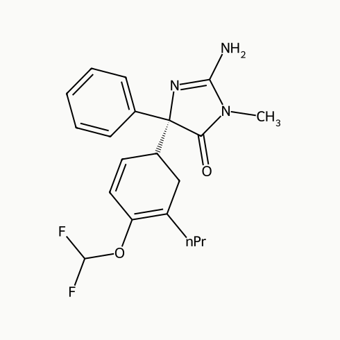 CCCC1=C(OC(F)F)C=CC([C@]2(c3ccccc3)N=C(N)N(C)C2=O)C1